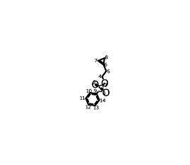 O=S(=O)(OCCC1=CC1)c1ccccc1